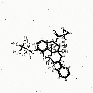 CC(C)(C)[Si](C)(C)Oc1ccc2c3c1O[C@H]1c4[nH]c5ccccc5c4C[C@@]4(O)[C@@H](C2)N(C(=O)C2(F)CC2)CC[C@]314